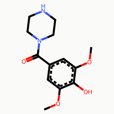 COc1cc(C(=O)N2CCNCC2)cc(OC)c1O